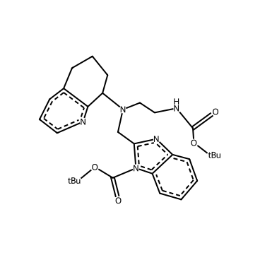 CC(C)(C)OC(=O)NCCN(Cc1nc2ccccc2n1C(=O)OC(C)(C)C)C1CCCc2cccnc21